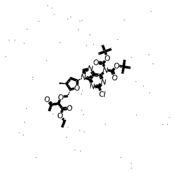 CCOC(=O)C(OC[C@H]1O[C@@H](n2cnc3c(N(C(=O)OC(C)(C)C)C(=O)OC(C)(C)C)nc(Cl)nc32)C[C@@H]1C)C(C)=O